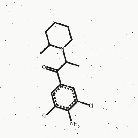 CC1CCCCN1C(C)C(=O)c1cc(Cl)c(N)c(Cl)c1